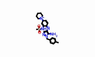 Cc1ccc(Cn2ncc(/N=C3/C=CC(=[N+]4CCCCC4)C=C3NS(C)(=O)=O)c2N)cc1